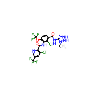 CN1NNN=C1NC(=O)c1ccc(OC(F)(F)F)c(NC(=O)c2ncc(C(F)(F)F)cc2Cl)c1Cl